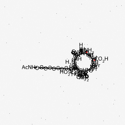 CC(=O)NCCOCCOCCOCCOCCOCCOCCOCCOCCC(=O)N[C@@H](CC(=O)O)C(=O)N[C@@H]1CSSC[C@H](C(=O)NC(C(N)=O)C(C)O)NC(=O)[C@H](Cc2c[nH]c3ccccc23)NC(=O)C(C(C)C)NC(=O)[C@@H](CC(C)C)NC(=O)[C@H](CCC(=O)O)NC(=O)CNC(=O)[C@H](CCN)NC(=O)[C@H](Cc2c[nH]cn2)NC(=O)[C@H](Cc2c[nH]c3ccccc23)NC(=O)[C@@H](C)NC1=O